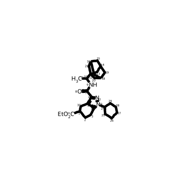 CCOC(=O)C1CCc2c(c(C(=O)NC(C)C34CC5CC(CC(C5)C3)C4)nn2C2CCCCC2)C1